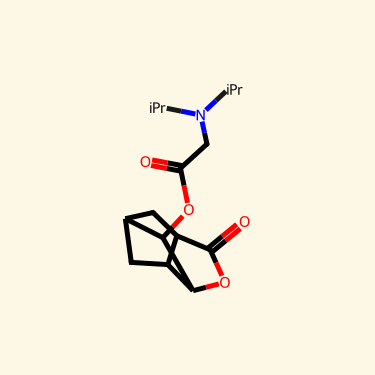 CC(C)N(CC(=O)OC1C2CC3C(=O)OC1C3C2)C(C)C